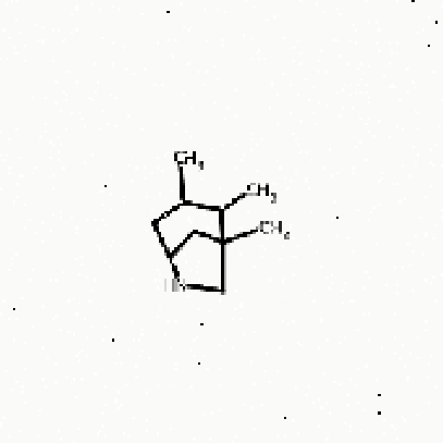 CC1CC2CC(C)(CN2)C1C